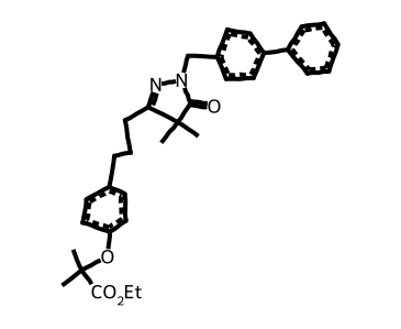 CCOC(=O)C(C)(C)Oc1ccc(CCCC2=NN(Cc3ccc(-c4ccccc4)cc3)C(=O)C2(C)C)cc1